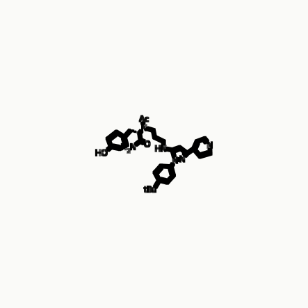 CC(=O)N(CCCNc1cc(-c2ccncc2)nn1-c1ccc(C(C)(C)C)cc1)[C@@H](Cc1ccc(O)cc1)C(N)=O